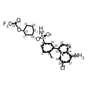 Cc1ccc(S(=O)(=O)N[C@H]2CC[C@H](OC(=O)C(F)(F)F)CC2)cc1-c1cnc2c(N)cc(Cl)cn12